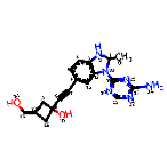 CC1Nc2ccc(C#CC3(O)CC(CO)C3)cc2N1c1ncnc(N)n1